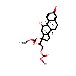 CCCCCOC(=O)O[C@]1(C(=O)COC(=O)OCCC)CC[C@H]2[C@@H]3CCC4=CC(=O)C=C[C@]4(C)[C@H]3C(O)C[C@@]21C